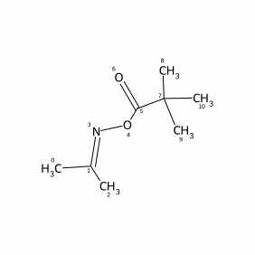 CC(C)=NOC(=O)C(C)(C)C